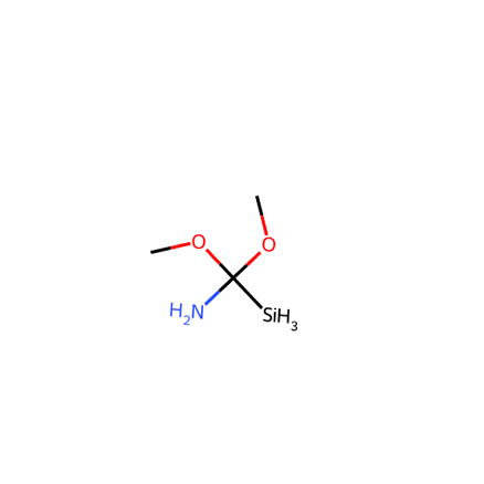 COC(N)([SiH3])OC